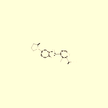 Cc1c(-c2nc3cc(N4CCCC4=O)ccc3o2)ccnc1C(=O)O